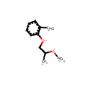 CC(COc1ccccc1C=O)O[N+](=O)[O-]